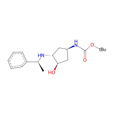 C[C@H](N[C@@H]1C[C@@H](NC(=O)OC(C)(C)C)C[C@H]1O)c1ccccc1